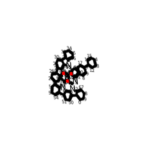 C1=c2c(n(-c3nc(-c4ccc(-c5ccccc5)cc4)nc(-n4c5ccccc5c5ccc6c7ccccc7n(-c7ccccc7)c6c54)n3)c3c2ccc2c4ccccc4n(-c4ccccc4)c23)=CCC1